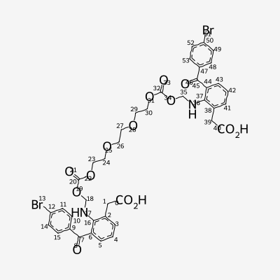 O=C(O)Cc1cccc(C(=O)c2ccc(Br)cc2)c1NCOC(=O)OCCOCCOCCOC(=O)OCNc1c(CC(=O)O)cccc1C(=O)c1ccc(Br)cc1